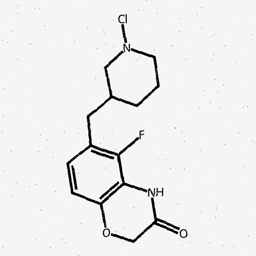 O=C1COc2ccc(CC3CCCN(Cl)C3)c(F)c2N1